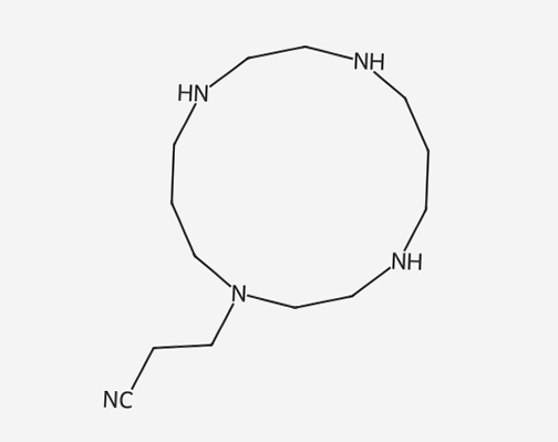 N#CCCN1CCCNCCNCCCNCC1